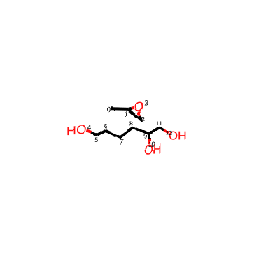 CC1CO1.OCCCCC(O)CO